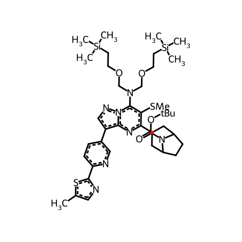 CSc1c(C2CC3CCC(C2)N3C(=O)OC(C)(C)C)nc2c(-c3ccc(-c4ncc(C)s4)nc3)cnn2c1N(COCC[Si](C)(C)C)COCC[Si](C)(C)C